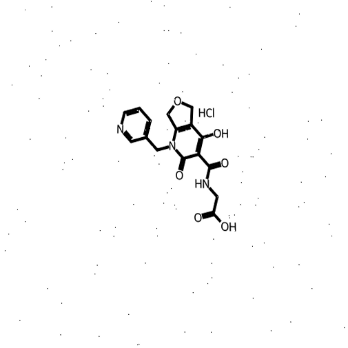 Cl.O=C(O)CNC(=O)c1c(O)c2c(n(Cc3cccnc3)c1=O)COC2